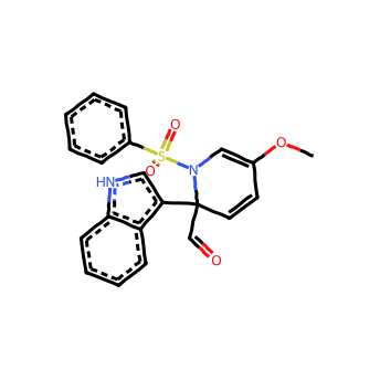 COC1=CN(S(=O)(=O)c2ccccc2)C(C=O)(c2c[nH]c3ccccc23)C=C1